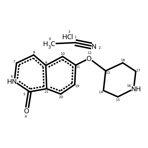 CC#N.Cl.O=c1[nH]ccc2cc(OC3CCNCC3)ccc12